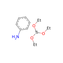 CC[O][Ti]([O]CC)[O]CC.Nc1ccccc1